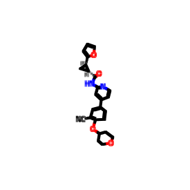 N#Cc1cc(-c2ccnc(NC(=O)[C@@H]3C[C@H]3c3ccco3)c2)ccc1OC1CCOCC1